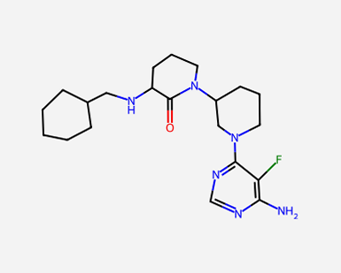 Nc1ncnc(N2CCCC(N3CCCC(NCC4CCCCC4)C3=O)C2)c1F